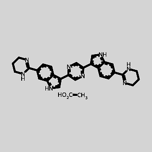 CC(=O)O.c1cc2c(-c3cnc(-c4c[nH]c5cc(C6=NCCCN6)ccc45)cn3)c[nH]c2cc1C1=NCCCN1